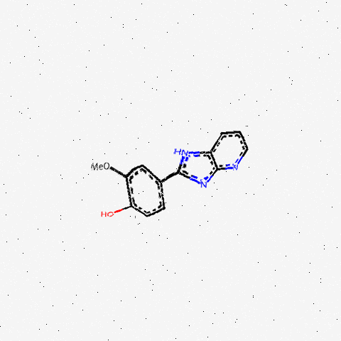 COc1cc(-c2nc3ncccc3[nH]2)ccc1O